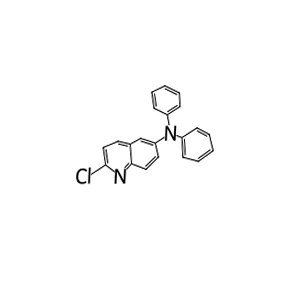 Clc1ccc2cc(N(c3ccccc3)c3ccccc3)ccc2n1